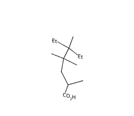 CCC(C)(CC)C(C)(C)CC(C)C(=O)O